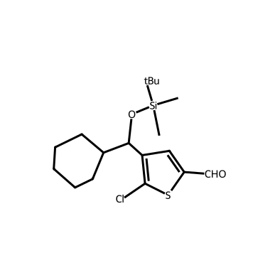 CC(C)(C)[Si](C)(C)OC(c1cc(C=O)sc1Cl)C1CCCCC1